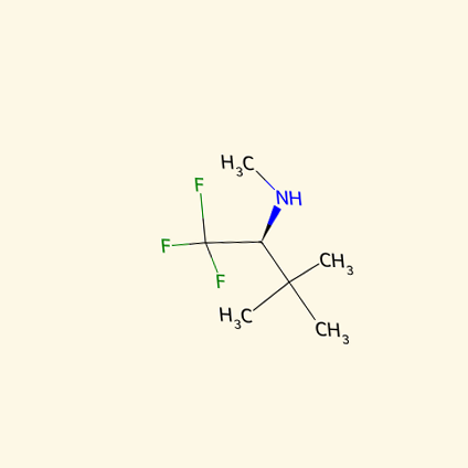 CN[C@@H](C(C)(C)C)C(F)(F)F